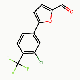 O=Cc1ccc(-c2ccc(C(F)(F)F)c(Cl)c2)o1